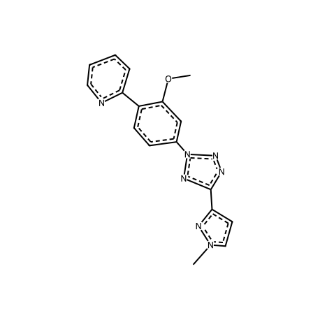 COc1cc(-n2nnc(-c3ccn(C)n3)n2)ccc1-c1ccccn1